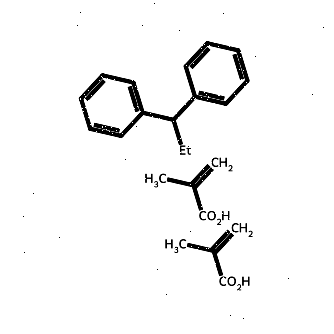 C=C(C)C(=O)O.C=C(C)C(=O)O.CCC(c1ccccc1)c1ccccc1